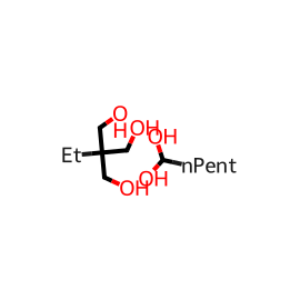 CCC(CO)(CO)CO.CCCCCC(O)O